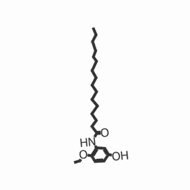 CCCCCCCCCCCCCCCC(=O)Nc1cc(O)ccc1OCC